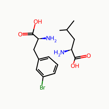 CC(C)C[C@H](N)C(=O)O.N[C@@H](Cc1cccc(Br)c1)C(=O)O